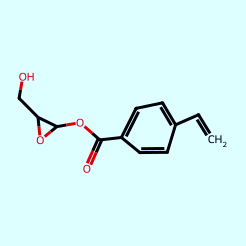 C=Cc1ccc(C(=O)OC2OC2CO)cc1